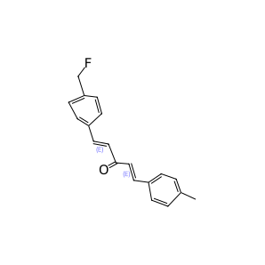 Cc1ccc(/C=C/C(=O)/C=C/c2ccc(CF)cc2)cc1